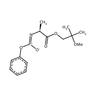 COC(C)(C)COC(=O)[C@H](C)N=[P+]([O-])Oc1ccccc1